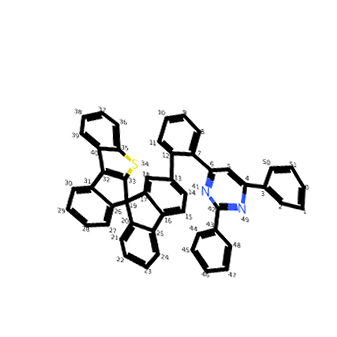 c1ccc(-c2cc(-c3ccccc3-c3ccc4c(c3)C3(c5ccccc5-4)c4ccccc4-c4c3sc3ccccc43)nc(-c3ccccc3)n2)cc1